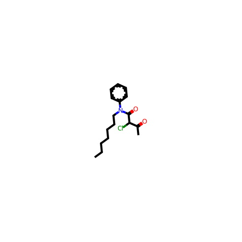 CCCCCCCN(C(=O)C(Cl)C(C)=O)c1ccccc1